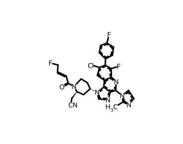 Cc1nccn1-c1nc2c(F)c(-c3ccc(F)cc3)c(Cl)cc2c2c1ncn2[C@H]1CCN(C(=O)/C=C/CF)[C@H](CC#N)C1